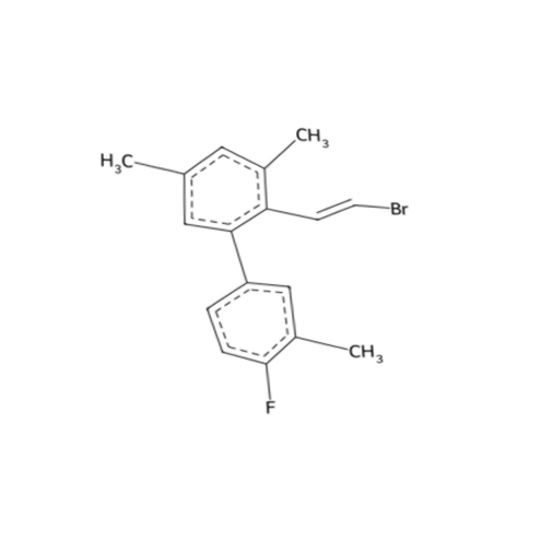 Cc1cc(C)c(/C=C/Br)c(-c2ccc(F)c(C)c2)c1